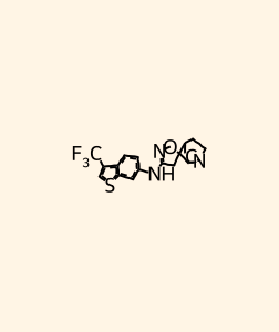 FC(F)(F)c1csc2cc(NC3=NOC4(C3)CN3CCC4CC3)ccc12